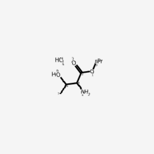 CCCOC(=O)C(N)C(C)O.Cl